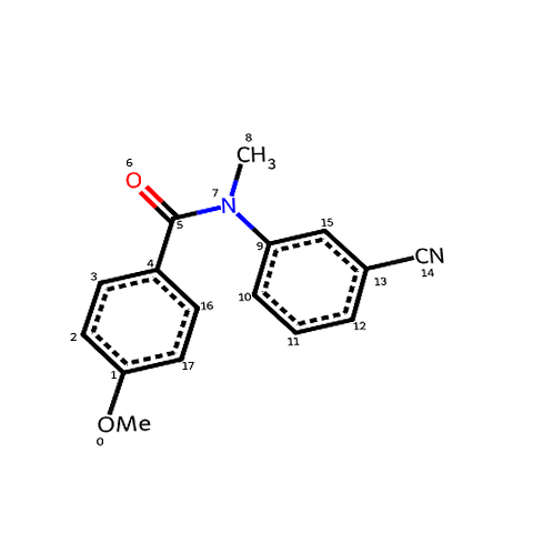 COc1ccc(C(=O)N(C)c2cccc(C#N)c2)cc1